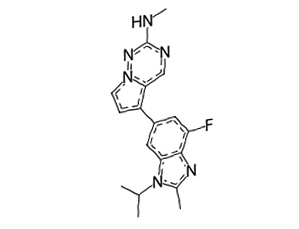 CNc1ncc2c(-c3cc(F)c4nc(C)n(C(C)C)c4c3)ccn2n1